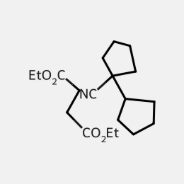 CCOC(=O)CCC(=O)OCC.N#CC1(C2CCCC2)CCCC1